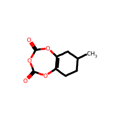 CC1CCC2=C(C1)OC(=O)OC(=O)O2